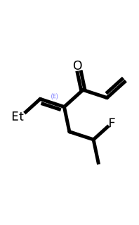 C=CC(=O)/C(=C/CC)CC(C)F